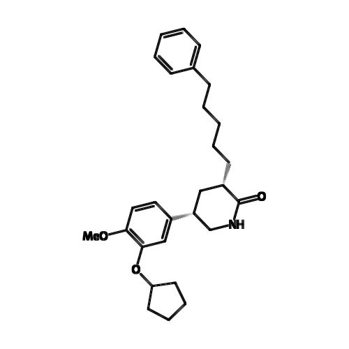 COc1ccc([C@H]2CNC(=O)[C@@H](CCCCCc3ccccc3)C2)cc1OC1CCCC1